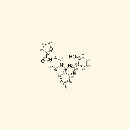 Cc1ccc2c(N3CCN(C(=O)[C@H]4CCCO4)CC3)nc(-c3ccccc3O)nc2c1